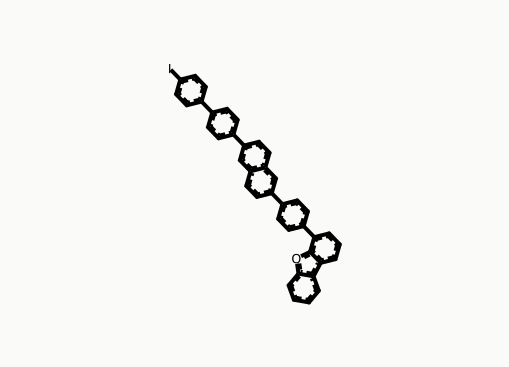 Ic1ccc(-c2ccc(-c3ccc4cc(-c5ccc(-c6cccc7c6oc6ccccc67)cc5)ccc4c3)cc2)cc1